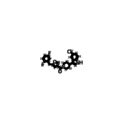 O=C(c1cc(Cc2cc(F)ccc2F)on1)N1CCC(c2c[nH]c3ccc(Cl)cc23)CC1